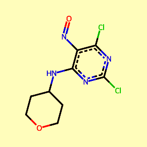 O=Nc1c(Cl)nc(Cl)nc1NC1CCOCC1